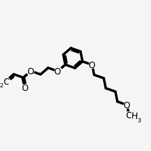 C=CC(=O)OCCOc1cccc(OCCCCCOC)c1